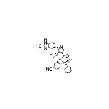 Cc1nc2cc(-n3ncc(C(=O)c4cc5cc(C#N)ccc5n4[S+]([O-])c4ccccc4)c3N)ccc2[nH]1